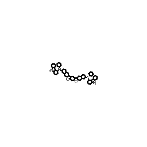 Cn1c2ccccc2c2c(N(c3ccccc3)c3ccc4cc5c(cc4c3)oc3cc4oc6cc7cc(N(c8ccccc8)c8cccc9c8c8ccccc8n9C)ccc7cc6c4cc35)cccc21